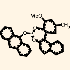 COc1cc(C)cc2c1op(Oc1c3ccccc3cc3ccccc13)oc1ccc3ccccc3c12